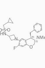 CN[C@@H]1COc2cc(F)c(N3CC(NS(=O)(=O)CC4CC4)C3)cc2[C@H]1Cc1ccccc1